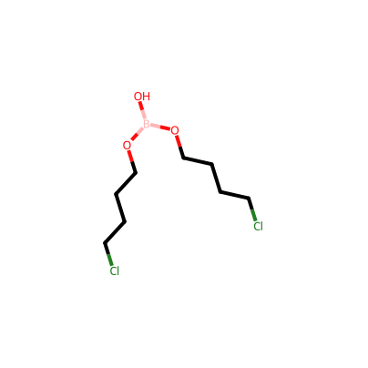 OB(OCCCCCl)OCCCCCl